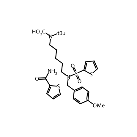 COc1ccc(CN(CCCCCN(C(=O)O)C(C)(C)C)S(=O)(=O)c2cccs2)cc1.NC(=O)c1cccs1